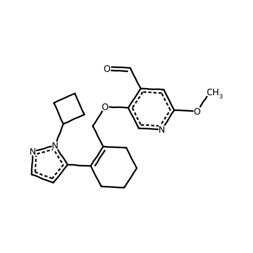 COc1cc(C=O)c(OCC2=C(c3ccnn3C3CCC3)CCCC2)cn1